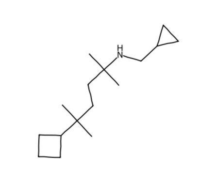 CC(C)(CCC(C)(C)C1CCC1)NCC1CC1